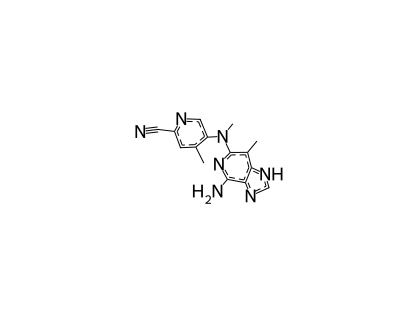 Cc1cc(C#N)ncc1N(C)c1nc(N)c2nc[nH]c2c1C